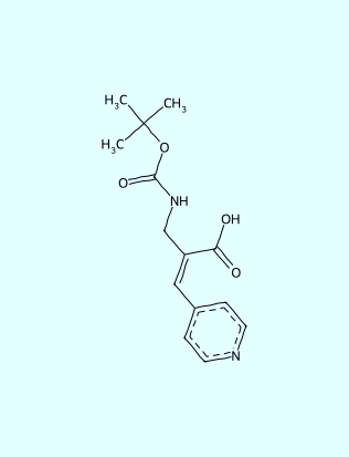 CC(C)(C)OC(=O)NCC(=Cc1ccncc1)C(=O)O